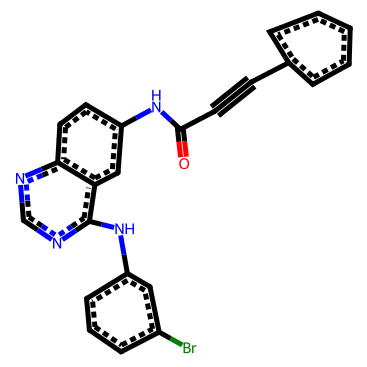 O=C(C#Cc1ccccc1)Nc1ccc2ncnc(Nc3cccc(Br)c3)c2c1